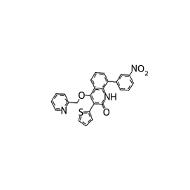 O=c1[nH]c2c(-c3cccc([N+](=O)[O-])c3)cccc2c(OCc2ccccn2)c1-c1cccs1